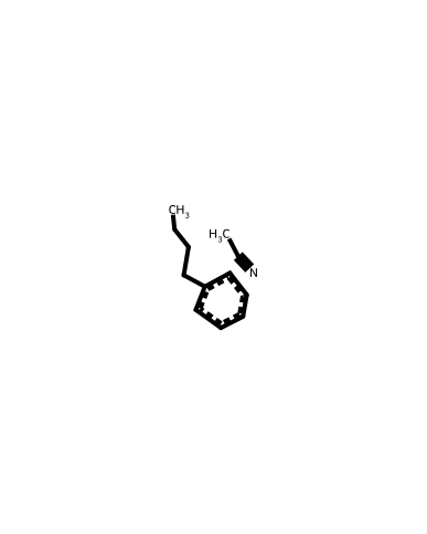 CC#N.CCCCc1ccccc1